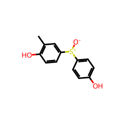 Cc1cc([S+]([O-])c2ccc(O)cc2)ccc1O